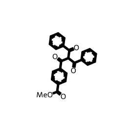 COC(=O)c1ccc(C(=O)C(C(=O)c2ccccc2)C(=O)c2ccccc2)cc1